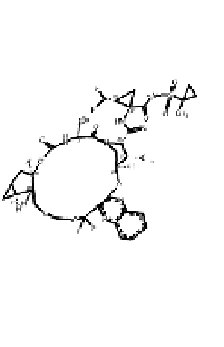 C[C@@H]1[C@@H]2CN(C(=O)[C@H](C(C)(C)C)NC(=O)O[C@@H]3CC4C[C@@H]4[C@H]3CCCCC(F)(F)c3nc4ccccc4nc3O2)[C@@H]1C(=O)N[C@]1(C(=O)NS(=O)(=O)C2(C)CC2)C[C@H]1C(F)F